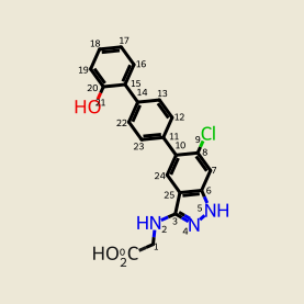 O=C(O)CNc1n[nH]c2cc(Cl)c(-c3ccc(-c4ccccc4O)cc3)cc12